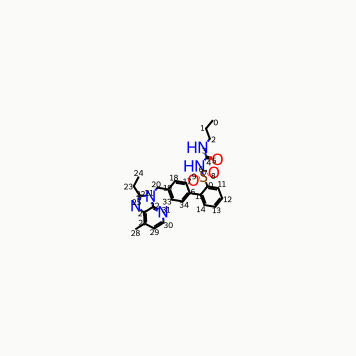 CCCNC(=O)NS(=O)(=O)c1ccccc1-c1ccc(Cn2c(CC)nc3c(C)ccnc32)cc1